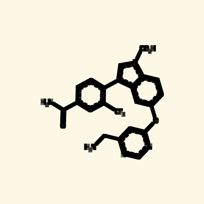 NCc1cc(Oc2ccc3c(c2)c(-c2ccc(C(N)=O)cc2C(F)(F)F)cn3C(=O)O)ncn1